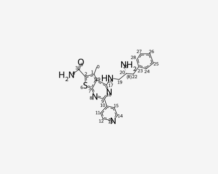 Cc1c(C(N)=O)sc2nc(-c3ccncc3)nc(NC[C@H](N)Cc3ccccc3)c12